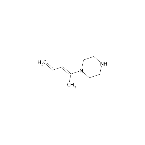 C=C/C=C(\C)N1CCNCC1